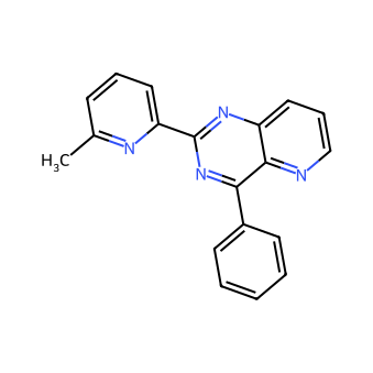 Cc1cccc(-c2nc(-c3ccccc3)c3ncccc3n2)n1